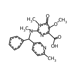 COc1c(C(=O)O)nc(N(C)C(c2ccccc2)c2ccc(C)nc2)n(C)c1=O